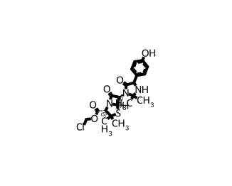 CC1(C)S[C@@H]2[C@H](N3C(=O)C(c4ccc(O)cc4)NC3(C)C)C(=O)N2[C@H]1C(=O)OCCl